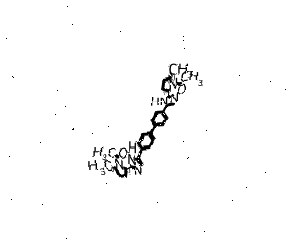 CC(=O)N1[C@H](C)CC[C@@H]1c1ncc(-c2ccc(-c3ccc(-c4cnc([C@H]5CC[C@@H](C)N5C(C)=O)[nH]4)cc3)cc2)[nH]1